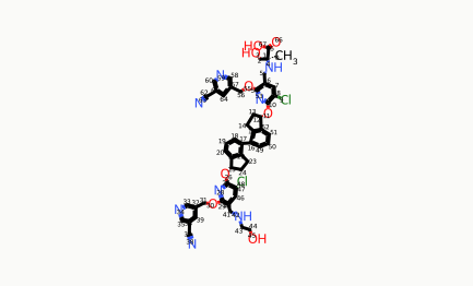 C[C@@](CO)(NCc1cc(Cl)c(O[C@H]2CCc3c(-c4cccc5c4CC[C@@H]5Oc4nc(OCc5cncc(C#N)c5)c(CNCCO)cc4Cl)cccc32)nc1OCc1cncc(C#N)c1)C(=O)O